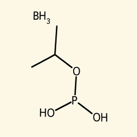 B.CC(C)OP(O)O